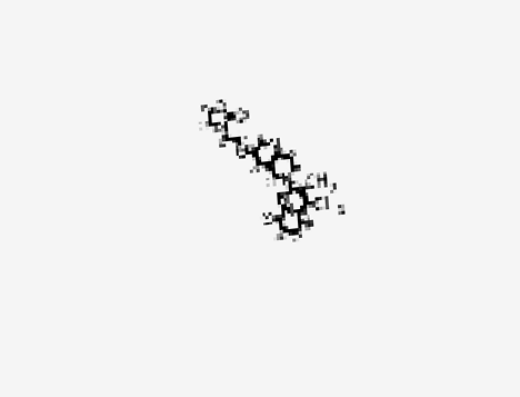 Cc1c(N2CCc3ncc(OCCN4CCOC4=O)cc3C2)nn2c(=O)ccnc2c1C